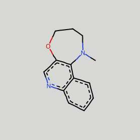 CN1CCCOc2cnc3ccccc3c21